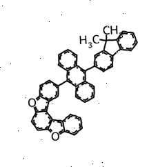 CC1(C)c2ccccc2-c2ccc(-c3c4ccccc4c(-c4ccc5oc6ccc7oc8ccccc8c7c6c5c4)c4ccccc34)cc21